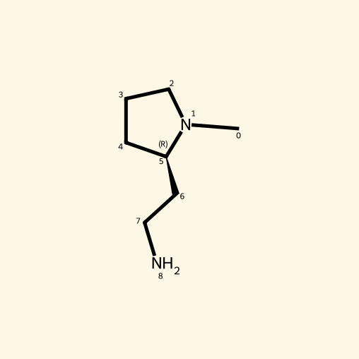 CN1CCC[C@@H]1CCN